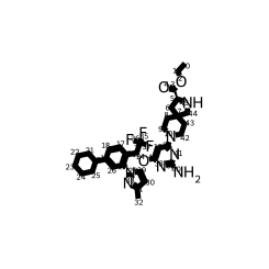 CCOC(=O)[C@@H]1CC2(CCN(c3cc(O[C@H](c4ccc(C5CCCCC5)cc4-n4ccc(C)n4)C(F)(F)F)nc(N)n3)CC2)CN1